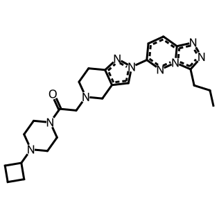 CCCc1nnc2ccc(-n3cc4c(n3)CCN(CC(=O)N3CCN(C5CCC5)CC3)C4)nn12